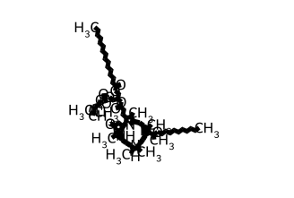 CCCCCCCCCCCCCCCC(=O)OCC(COP(=O)([O-])OCC[N+](C)(C)C)OC(=O)CCC1c2[nH]c(cc3nc(cc4[nH]c(cc5nc6c2CC(=O)C6=C5C)c(CC)c4C)C(C(C)OCCCCCCCCCC)=C3C)C1C